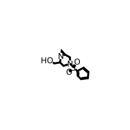 O=S(=O)(c1ccccc1)N1CC(CO)N2CC2C1